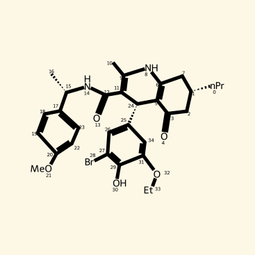 CCC[C@@H]1CC(=O)C2=C(C1)NC(C)=C(C(=O)N[C@@H](C)c1ccc(OC)cc1)[C@H]2c1cc(Br)c(O)c(OCC)c1